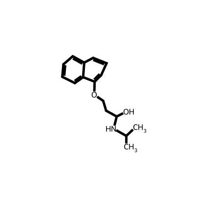 CC(C)NC(O)CCOc1cccc2ccccc12